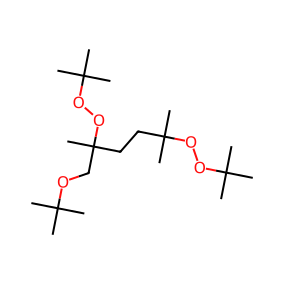 CC(C)(C)OCC(C)(CCC(C)(C)OOC(C)(C)C)OOC(C)(C)C